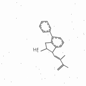 C=C(C)C(C)=CC1c2cccc(-c3ccccc3)c2CC1C.[Hf]